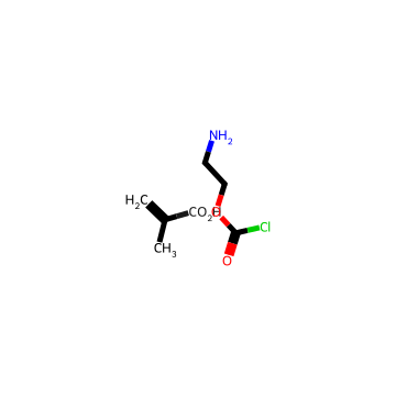 C=C(C)C(=O)O.NCCOC(=O)Cl